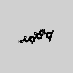 O=C(O)Cc1ccc(N2CCc3c(cnn3-c3cc(F)cc(F)c3)C2=O)cn1